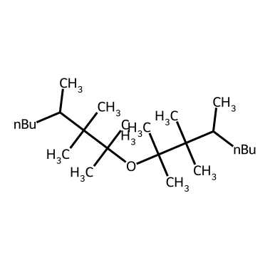 CCCCC(C)C(C)(C)C(C)(C)OC(C)(C)C(C)(C)C(C)CCCC